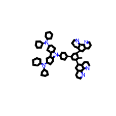 Cc1c(-c2cc3cccnc3c3ncccc23)cc(-c2ccc(-n3c4ccc(N(c5ccccc5)c5ccccc5)cc4c4cc(N(c5ccccc5)c5ccccc5)ccc43)cc2)cc1-c1cc2cccnc2c2ncccc12